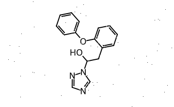 OC(Cc1ccccc1Oc1ccccc1)n1cncn1